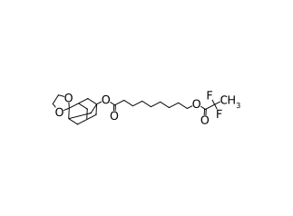 CC(F)(F)C(=O)OCCCCCCCCC(=O)OC12CC3CC(C1)C1(OCCO1)C(C3)C2